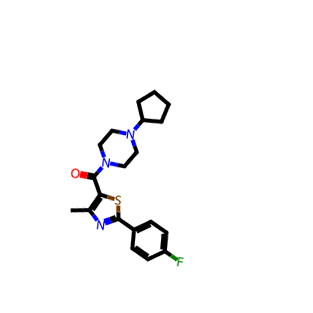 Cc1nc(-c2ccc(F)cc2)sc1C(=O)N1CCN(C2CCCC2)CC1